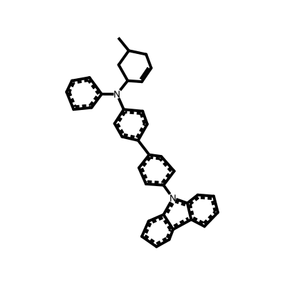 CC1CC=CC(N(c2ccccc2)c2ccc(-c3ccc(-n4c5ccccc5c5ccccc54)cc3)cc2)C1